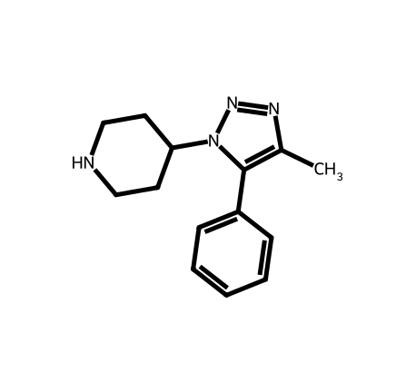 Cc1nnn(C2CCNCC2)c1-c1ccccc1